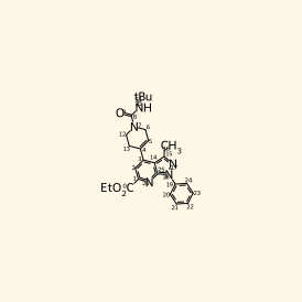 CCOC(=O)c1cc(C2=CCN(C(=O)NC(C)(C)C)CC2)c2c(C)nn(-c3ccccc3)c2n1